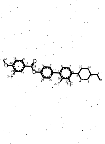 CCC1CCC(c2ccc(-c3ccc(OC(=O)c4ccc(OC)c(F)c4)cc3)c(F)c2F)CC1